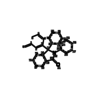 C=C/C=C(\C=C/C)C1(c2ccccc2)c2ccccc2C(=O)N1c1ccccc1